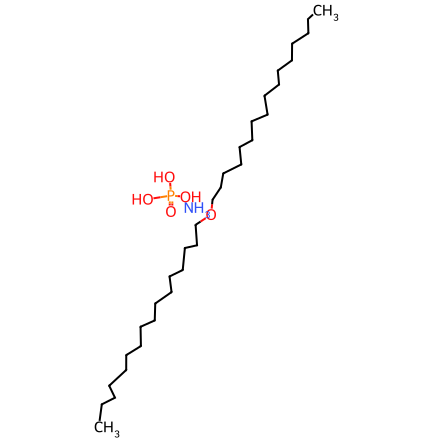 CCCCCCCCCCCCCCCCOCCCCCCCCCCCCCCCC.N.O=P(O)(O)O